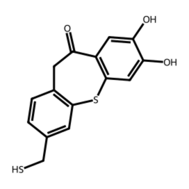 O=C1Cc2ccc(CS)cc2Sc2cc(O)c(O)cc21